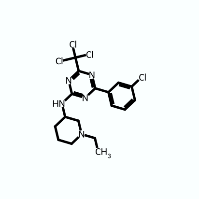 CCN1CCCC(Nc2nc(-c3cccc(Cl)c3)nc(C(Cl)(Cl)Cl)n2)C1